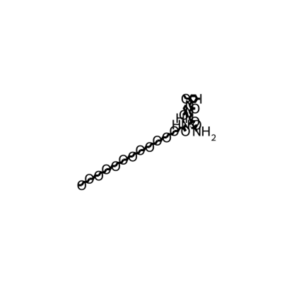 COCCOCCOCCOCCOCCOCCOCCOCCOCCOCCOCCOCCC(=O)N[C@@H](CC(N)=O)C(=O)NCN1C(=O)CCN(c2cc(I)ccc2OC)C1=O